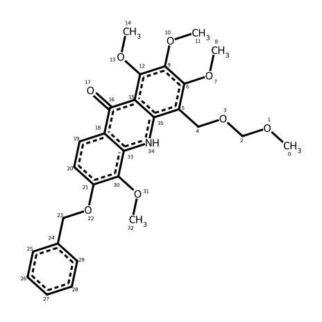 COCOCc1c(OC)c(OC)c(OC)c2c(=O)c3ccc(OCc4ccccc4)c(OC)c3[nH]c12